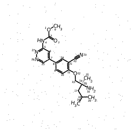 COC(=O)Nc1cc(-c2ccc(OC[C@@](C)(N)CC(C)C)c(C#N)c2)cnn1